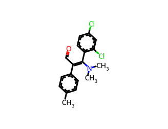 Cc1ccc(C(C=O)=C(c2ccc(Cl)cc2Cl)N(C)C)cc1